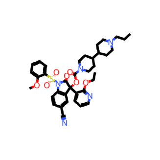 CCCN1CCC(C2CCN(C(=O)OC3(c4cccnc4OCC)C(=O)N(S(=O)(=O)c4ccccc4OC)c4ccc(C#N)cc43)CC2)CC1